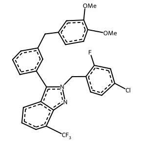 COc1ccc(Cc2cccc(-c3c4cccc(C(F)(F)F)c4nn3Cc3ccc(Cl)cc3F)c2)cc1OC